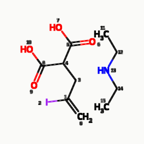 C=C(I)CC(C(=O)O)C(=O)O.CCNCC